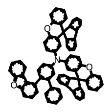 c1ccc(-c2cc(N(c3ccc4c(c3)C3(c5ccccc5O4)c4ccccc4-c4ccccc43)c3ccc4c(c3)C3(c5ccccc5O4)c4ccccc4-c4ccccc43)ccc2-c2cccc3oc4ccccc4c23)cc1